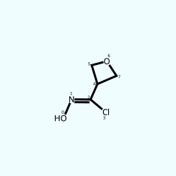 ON=C(Cl)C1COC1